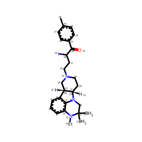 BC1(B)CN2c3c(cccc3N1CC)[C@@H]1CN(CCC(I)C(=O)c3ccc(C)cc3)CC[C@@H]12